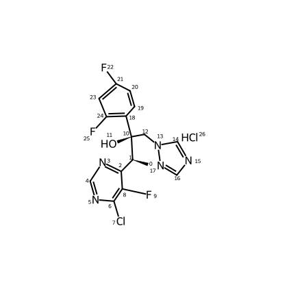 C[C@@H](c1ncnc(Cl)c1F)[C@@](O)(Cn1cncn1)c1ccc(F)cc1F.Cl